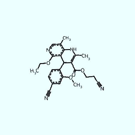 CCOc1ncc(C)c2c1C(c1ccc(C#N)cc1OC)C(C(=O)OCCC#N)=C(C)N2